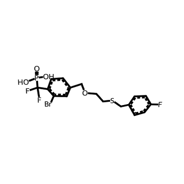 O=P(O)(O)C(F)(F)c1ccc(COCCSCc2ccc(F)cc2)cc1Br